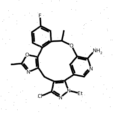 CCn1nc(Cl)c2c1-c1cnc(N)c(c1)OC(C)c1cc(F)ccc1-c1oc(C)nc1C2